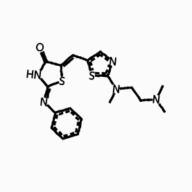 CN(C)CCN(C)c1ncc(C=C2SC(=Nc3ccccc3)NC2=O)s1